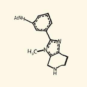 CC(=O)Nc1cccc(-c2nc3c(n2C)CNCC3)c1